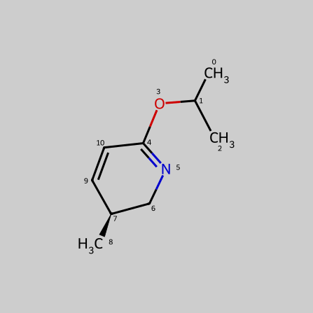 CC(C)OC1=NC[C@@H](C)C=C1